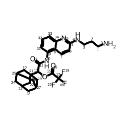 NCCCNc1ccc2c(NC(=O)C(OC(=O)C(F)(F)F)C34CC5CC(CC(C5)C3)C4)cccc2n1